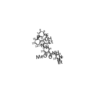 CCc1c(C(O)(c2ccccc2F)c2ccccc2F)nc2cc(OC)c(C(=O)Nc3cnn(CC)c3)cn12